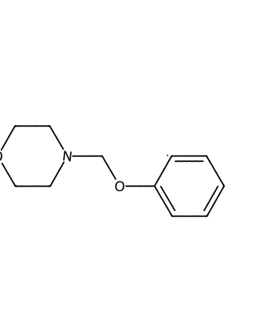 [c]1ccccc1OCN1CCOCC1